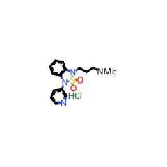 CNCCCN1c2ccccc2N(c2cccnc2)S1(=O)=O.Cl